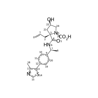 C=CC[C@@]1(C(=O)N[C@@H](C)c2ccc(-c3scnc3C)cc2)C[C@@H](O)CN1C(=O)O